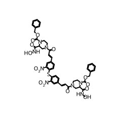 O=C(NO)C1CN(C(=O)/C=C/c2ccc(Sc3ccc(/C=C/C(=O)N4CCN(C(=O)OCc5ccccc5)C(C(=O)NO)C4)cc3[N+](=O)[O-])c([N+](=O)[O-])c2)CCN1C(=O)OCc1ccccc1